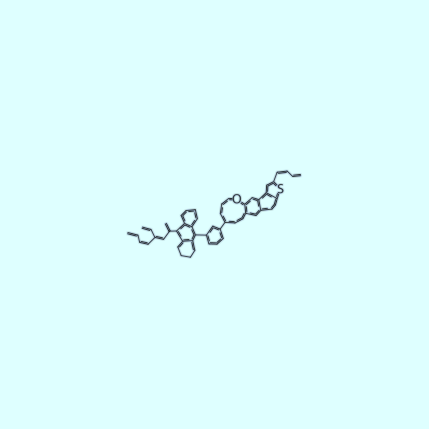 C=C/C=C\C(C=C)=C\C(=C)c1c2c(c(-c3cccc(-c4cccoc5cc6c(ccc7sc(/C=C\C=C)cc76)cc5cc4)c3)c3ccccc13)=CCCC=2